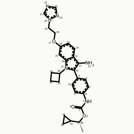 C[C@@H](OC(=O)Nc1ccc(-c2c(N)c3ccc(OCCn4cncn4)cc3n2C2CCC2)cc1)C1CC1